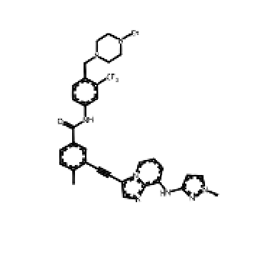 CCN1CCN(Cc2ccc(NC(=O)c3ccc(C)c(C#Cc4cnc5c(Nc6ccn(C)n6)cccn45)c3)cc2C(F)(F)F)CC1